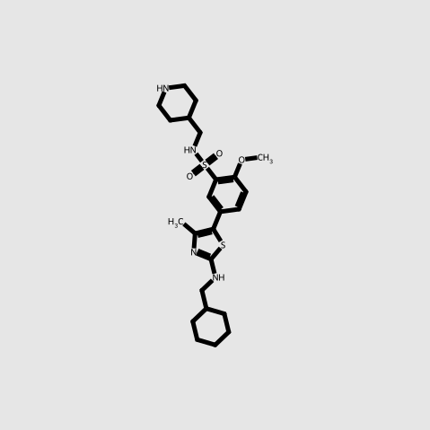 COc1ccc(-c2sc(NCC3CCCCC3)nc2C)cc1S(=O)(=O)NCC1CCNCC1